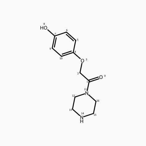 O=C(COc1ccc(O)cc1)N1CCNCC1